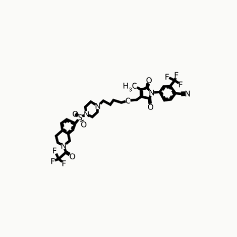 CC1=C(CCCCCCN2CCN(S(=O)(=O)c3ccc4c(c3)CN(C(=O)C(F)(F)F)CC4)CC2)C(=O)N(c2ccc(C#N)c(C(F)(F)F)c2)C1=O